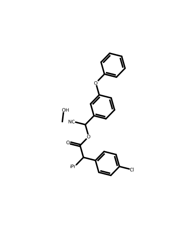 CC(C)C(C(=O)OC(C#N)c1cccc(Oc2ccccc2)c1)c1ccc(Cl)cc1.CO